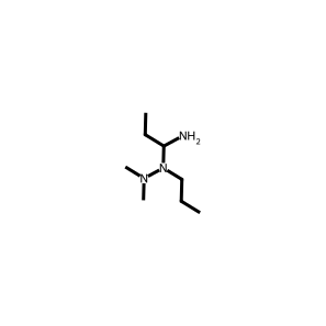 CCCN(C(N)CC)N(C)C